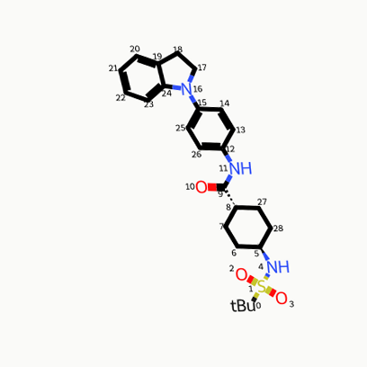 CC(C)(C)S(=O)(=O)N[C@H]1CC[C@H](C(=O)Nc2ccc(N3CCc4ccccc43)cc2)CC1